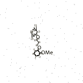 COc1ccccc1OCCCOC(CN(C)C)N(C)C